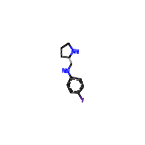 Ic1ccc(NC[C@@H]2CCCN2)cc1